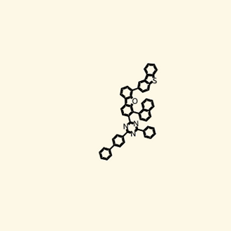 c1ccc(-c2ccc(-c3nc(-c4ccccc4)nc(-c4ccc5c(oc6c(-c7ccc8sc9ccccc9c8c7)cccc65)c4-c4cccc5ccccc45)n3)cc2)cc1